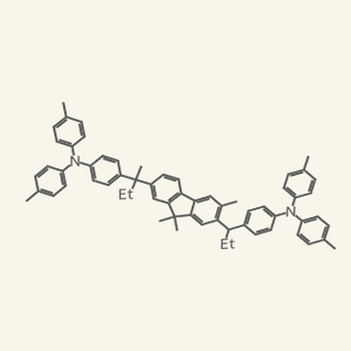 CCC(c1ccc(N(c2ccc(C)cc2)c2ccc(C)cc2)cc1)c1cc2c(cc1C)-c1ccc(C(C)(CC)c3ccc(N(c4ccc(C)cc4)c4ccc(C)cc4)cc3)cc1C2(C)C